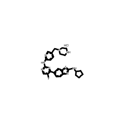 Cl.Fc1cnc(Nc2ccc(CN3CCNCC3)cn2)nc1-c1ccc2nc(NC3CCCC3)sc2c1